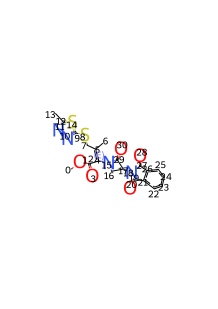 COC(=O)/C(=C(/C)CSc1nnc(C)s1)N1CC(N2C(=O)c3ccccc3C2=O)C1=O